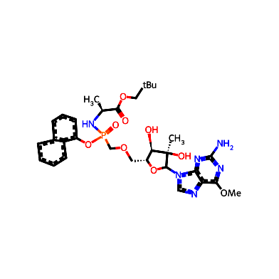 COc1nc(N)nc2c1ncn2C1O[C@H](COCP(=O)(N[C@@H](C)C(=O)OCC(C)(C)C)Oc2cccc3ccccc23)[C@@H](O)[C@@]1(C)O